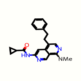 CNc1ncc(CCc2ccccc2)c2cc(NC(=O)C3CC3)ncc12